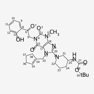 Cn1c(=O)n(CC(=O)c2ccccc2O)c(=O)c2c1nc(N1CCCC(NC(=O)OC(C)(C)C)C1)n2CC1=CCCC1